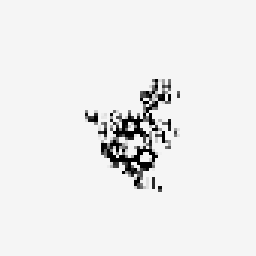 COc1cc(N(C)CCS(C)(=O)=O)c(N)cc1Nc1nccc(-c2cn(C)c3ccccc23)n1